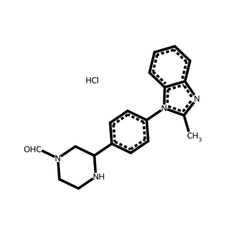 Cc1nc2ccccc2n1-c1ccc(C2CN(C=O)CCN2)cc1.Cl